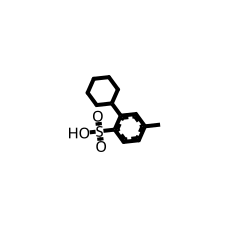 Cc1ccc(S(=O)(=O)O)c(C2CCCCC2)c1